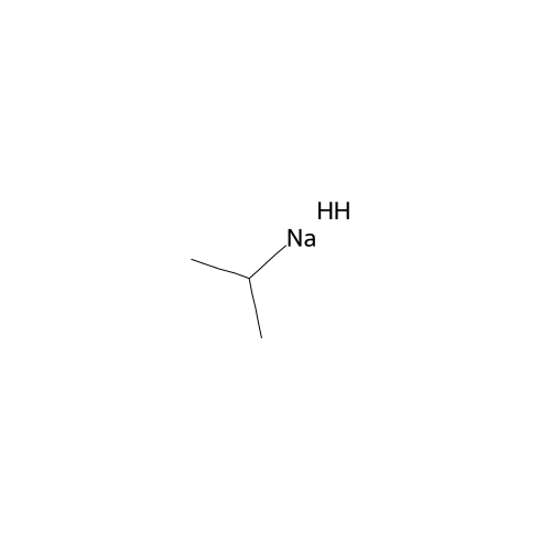 C[CH](C)[Na].[HH]